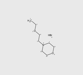 Br.CCOCCN1CCOCC1